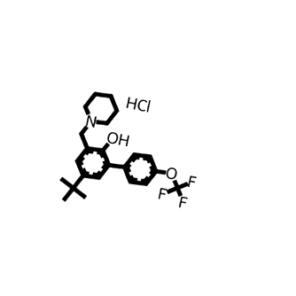 CC(C)(C)c1cc(CN2CCCCC2)c(O)c(-c2ccc(OC(F)(F)F)cc2)c1.Cl